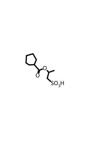 CC(CS(=O)(=O)O)OC(=O)C1CCCCC1